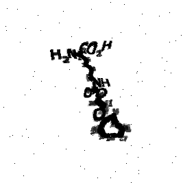 NC(CCCCNC(=O)OCCOC1/C=C/CCCCC1)C(=O)O